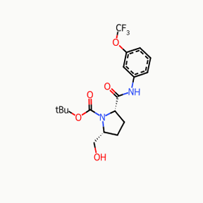 CC(C)(C)OC(=O)N1[C@@H](CO)CC[C@H]1C(=O)Nc1cccc(OC(F)(F)F)c1